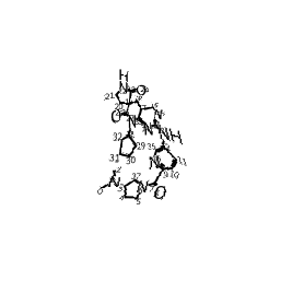 CN(C)[C@H]1CCN(C(=O)c2ccc(NC3=NCC4CC5(CCNC5=O)C(=O)N(C5CCCC5)C4=N3)cn2)C1